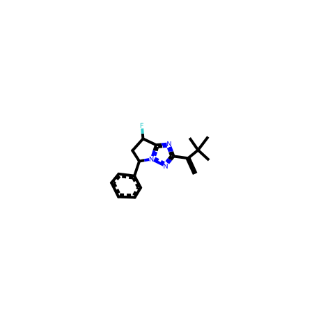 C=C(c1nc2n(n1)C(c1ccccc1)CC2F)C(C)(C)C